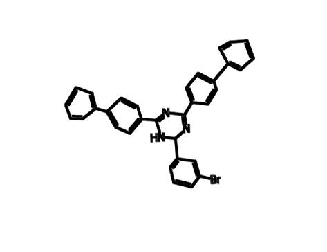 Brc1cccc(C2N=C(c3ccc(-c4ccccc4)cc3)N=C(c3ccc(-c4ccccc4)cc3)N2)c1